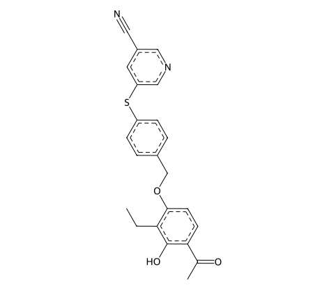 CCc1c(OCc2ccc(Sc3cncc(C#N)c3)cc2)ccc(C(C)=O)c1O